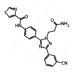 N#Cc1cccc(-c2nc(-c3ccc(NC(=O)c4cscn4)cc3)n(CCC(N)=O)n2)c1